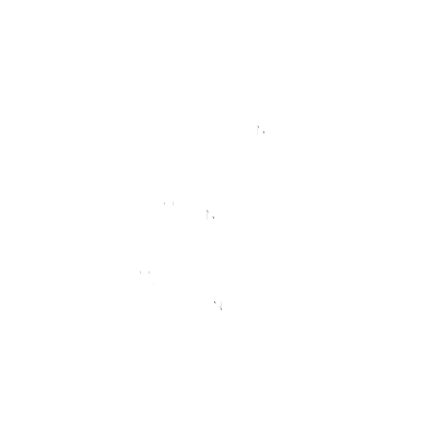 O=C(O)c1ncsc1N(c1cccnc1)S(=O)(=O)O